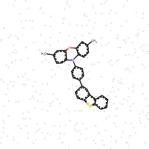 Cc1ccc2c(c1)Oc1cc(C)ccc1N2c1ccc(-c2ccc3sc4ccccc4c3c2)cc1